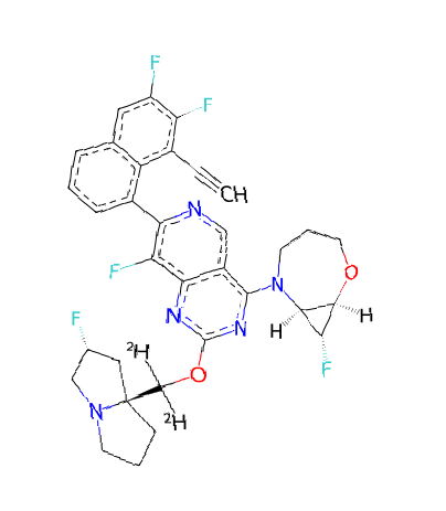 [2H]C([2H])(Oc1nc(N2CCCO[C@H]3[C@H](F)[C@H]32)c2cnc(-c3cccc4cc(F)c(F)c(C#C)c34)c(F)c2n1)[C@@]12CCCN1C[C@H](F)C2